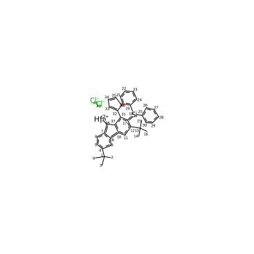 CC(C)(C)c1ccc2c(c1)=c1cc(C(C)(C)C)c(=[Si](c3ccccc3)c3ccccc3)c(C3=CC=CC3)c1[C]=2[Hf+2].[Cl-].[Cl-]